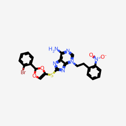 Nc1ncn(CCc2ccccc2[N+](=O)[O-])c2nc(SC3=COC(c4ccccc4Br)O3)nc1-2